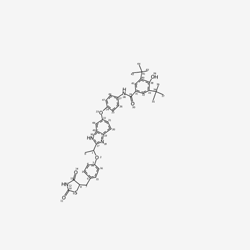 CC(Oc1ccc(CC2SC(=O)NC2=O)cc1)c1nc2ccc(Oc3ccc(NC(=O)c4cc(C(C)(C)C)c(O)c(C(C)(C)C)c4)cc3)cc2[nH]1